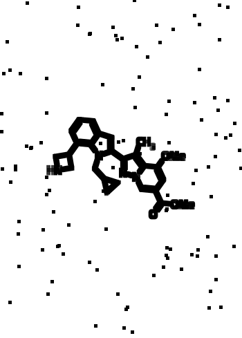 COC(=O)c1cc(OC)c2c(C)c(-c3cc4cccc(C5CNC5)c4n3CC3CC3)nn2c1